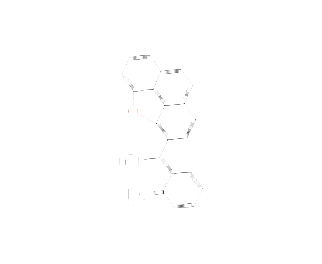 C=c1cccc/c1=C(/CCC)c1ccc2ccc3cccc4oc1c2c34